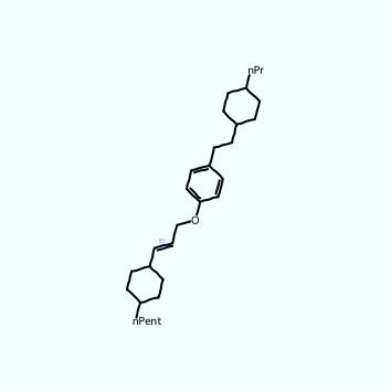 CCCCCC1CCC(/C=C/COc2ccc(CCC3CCC(CCC)CC3)cc2)CC1